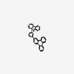 C1=CC2c3ccccc3N(c3cccc(-c4ccc5c6ccccc6c6ccccc6c5c4)c3)C2C=C1